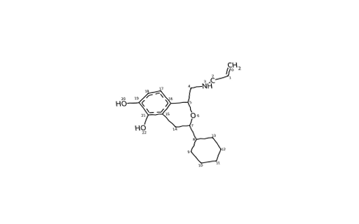 C=CCNCC1OC(C2CCCCC2)Cc2c1ccc(O)c2O